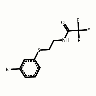 O=C(NCCSc1cccc(Br)c1)C(F)(F)F